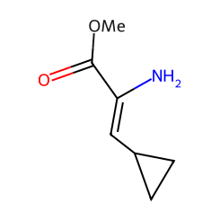 COC(=O)C(N)=CC1CC1